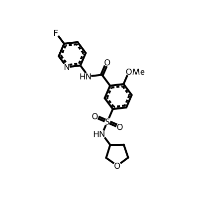 COc1ccc(S(=O)(=O)NC2CCOC2)cc1C(=O)Nc1ccc(F)cn1